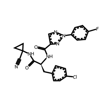 N#CC1(NC(=O)[C@H](Cc2ccc(Cl)cc2)NC(=O)c2cnn(-c3ccc(F)cc3)n2)CC1